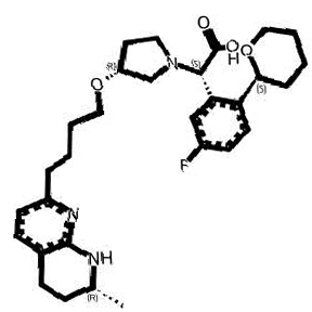 C[C@@H]1CCc2ccc(CCCCO[C@@H]3CCN([C@H](C(=O)O)c4cc(F)ccc4[C@@H]4CCCCO4)C3)nc2N1